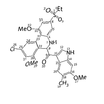 CCS(=O)(=O)c1cc(NC(C(=O)c2c[nH]c3cc(OC)c(C)cc23)c2ccc(Cl)cc2OC)cc(OC)c1